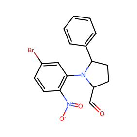 O=CC1CCC(c2ccccc2)N1c1cc(Br)ccc1[N+](=O)[O-]